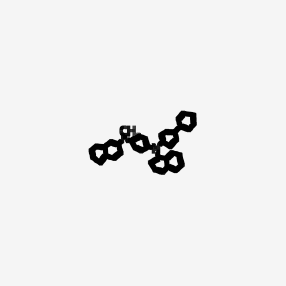 CN(c1ccc(N(c2ccc(-c3ccccc3)cc2)c2cccc3ccccc23)cc1)c1ccc2ccccc2c1